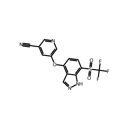 N#Cc1cncc(Oc2ccc(S(=O)(=O)C(F)(F)F)c3[nH]ncc23)c1